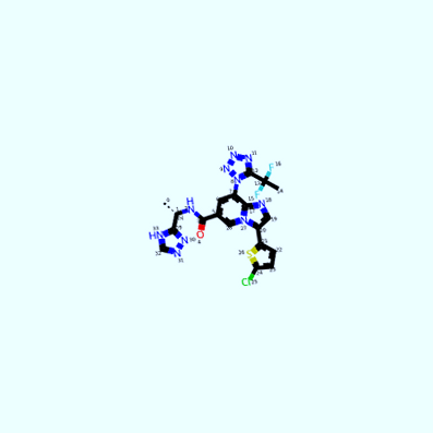 C[C@H](NC(=O)c1cc(-n2nnnc2C(C)(F)F)c2ncc(-c3ccc(Cl)s3)n2c1)c1nnc[nH]1